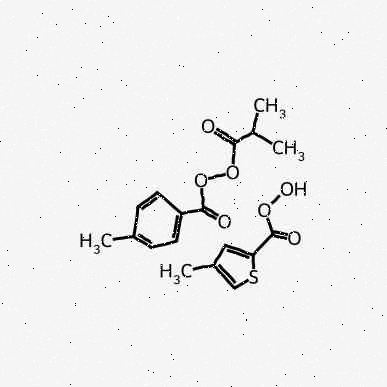 Cc1ccc(C(=O)OOC(=O)C(C)C)cc1.Cc1csc(C(=O)OO)c1